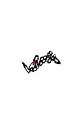 CC1=CCCC=C1N(c1ccc2ccc3c(N(c4ccccc4C)C4c5oc6ccccc6c5C=CC4C)ccc4ccc1c2c43)c1c(C)ccc2c1oc1ccccc12